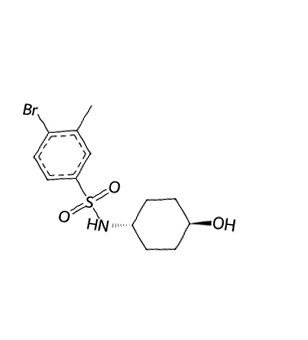 Cc1cc(S(=O)(=O)N[C@H]2CC[C@H](O)CC2)ccc1Br